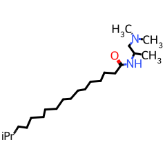 CC(C)CCCCCCCCCCCCCCC(=O)NC(C)CN(C)C